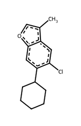 Cc1coc2cc(C3CCCCC3)c(Cl)cc12